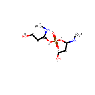 O=S(=O)(O)NC(CCO)OS(=O)(=O)OC(CCO)NS(=O)(=O)O